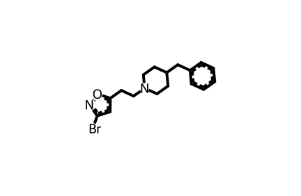 Brc1cc(CCN2CCC(Cc3ccccc3)CC2)on1